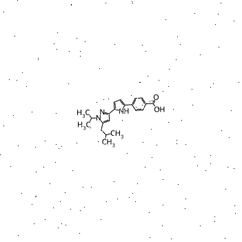 CC(C)Cc1cc(-c2ccc(-c3ccc(C(=O)O)cc3)[nH]2)nn1C(C)C